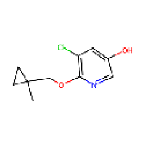 CC1(COc2ncc(O)cc2Cl)CC1